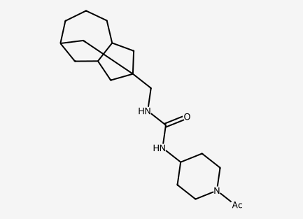 CC(=O)N1CCC(NC(=O)NCC23CC4CCCC(C2)C(C4)C3)CC1